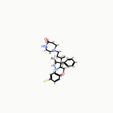 CC(=O)C1=NN2c3cc(F)ccc3OCC2[C@]1(c1ccccc1)C(C)CCN1CCNC(=O)CC1